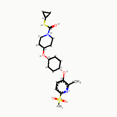 Cc1nc(S(C)(=O)=O)ccc1O[C@H]1CC[C@H](OC2CCN(C(=O)SC3CC3)CC2)CC1